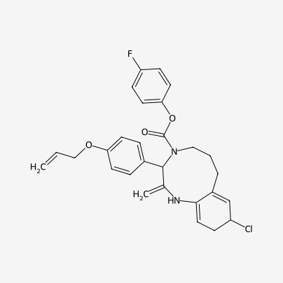 C=CCOc1ccc(C2C(=C)NC3=CCC(Cl)C=C3CCCN2C(=O)Oc2ccc(F)cc2)cc1